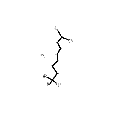 Br.OC(P)CCCCCCC(O)(O)O